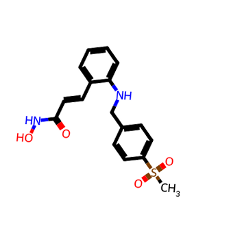 CS(=O)(=O)c1ccc(CNc2ccccc2C=CC(=O)NO)cc1